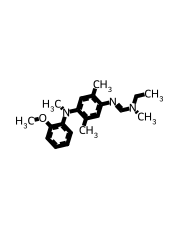 CCN(C)C=Nc1cc(C)c(N(C)c2ccccc2OC)cc1C